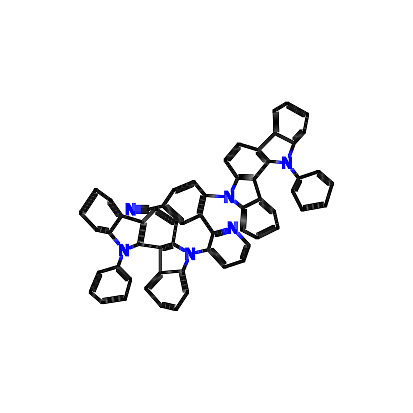 N#Cc1ccc(-n2c3ccccc3c3c2ccc2c4ccccc4n(-c4ccccc4)c23)c(-c2ncccc2-n2c3ccccc3c3c2ccc2c4ccccc4n(-c4ccccc4)c23)c1